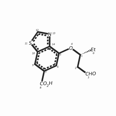 CC[C@H](CC=O)Oc1cc(C(=O)O)cc2scnc12